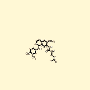 COc1cc2ncnc(Nc3ccc(Cl)c(C(F)(F)F)c3)c2cc1NC(=O)C(F)=CCN(C)C